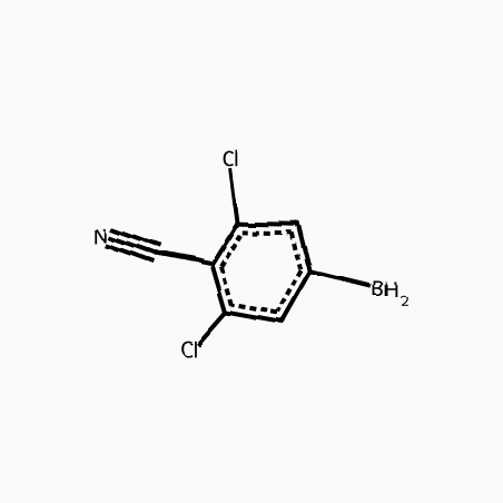 Bc1cc(Cl)c(C#N)c(Cl)c1